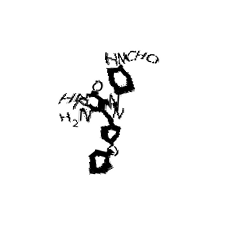 Nc1n[nH]c(=O)c2c1c(-c1ccc(Oc3ccccc3)cc1)nn2C1CCC(NC=O)CC1